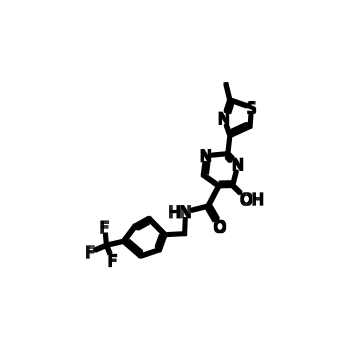 Cc1nc(-c2ncc(C(=O)NCc3ccc(C(F)(F)F)cc3)c(O)n2)cs1